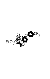 CCOC(=O)/C=C(\OP(=O)(OC)OCC)C(C)Oc1ccc(Oc2ccc(C(F)(F)F)cc2)cc1